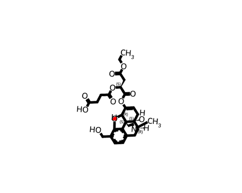 CCOC(=O)C[C@H](OC(=O)CCC(=O)O)C(=O)OC1=CC[C@@]2(O)[C@H]3Cc4ccc(CO)c5c4[C@@]2(CCN3C)[C@H]1O5